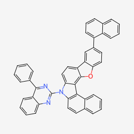 c1ccc(-c2nc(-n3c4ccc5ccccc5c4c4c5oc6ccc(-c7cccc8ccccc78)cc6c5ccc43)nc3ccccc23)cc1